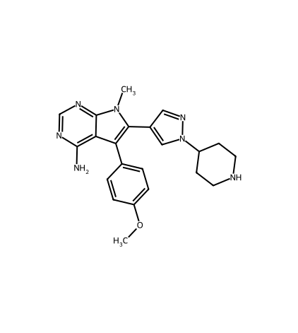 COc1ccc(-c2c(-c3cnn(C4CCNCC4)c3)n(C)c3ncnc(N)c23)cc1